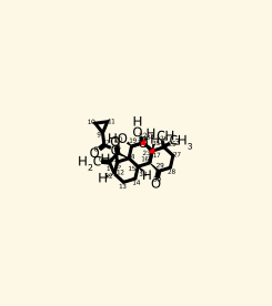 C=C1C(=O)[C@]23[C@H](OC(=O)C4CC4)[C@H]1CC[C@H]2[C@@]12CO[C@]3(O)[C@@H](O)[C@@H]1C(C)(C)CCC2=O